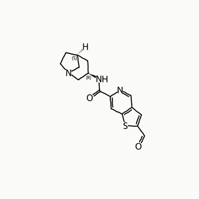 O=Cc1cc2cnc(C(=O)N[C@@H]3C[C@@H]4CCN(C4)C3)cc2s1